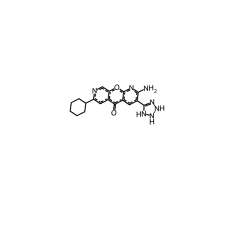 Nc1nc2oc3cnc(C4CCCCC4)cc3c(=O)c2cc1C1=NNNN1